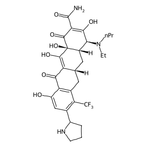 CCCN(CC)[C@@H]1C(O)=C(C(N)=O)C(=O)[C@@]2(O)C(O)=C3C(=O)c4c(O)cc(C5CCCN5)c(C(F)(F)F)c4C[C@H]3C[C@@H]12